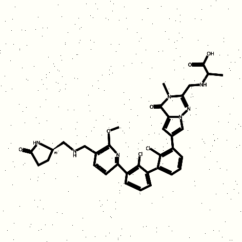 COc1nc(-c2cccc(-c3cccc(-c4cc5c(=O)n(C)c(CNC(C)C(=O)O)nn5c4)c3Cl)c2Cl)ccc1CNC[C@H]1CCC(=O)N1